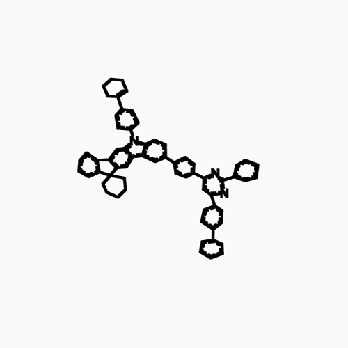 C1=C(c2ccc(-n3c4ccc(-c5ccc(-c6cc(-c7ccc(-c8ccccc8)cc7)nc(-c7ccccc7)n6)cc5)cc4c4cc5c(cc43)-c3ccccc3C53CCCCC3)cc2)CCCC1